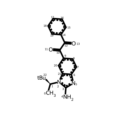 C[C@H](n1c(N)nc2ccc(C(=O)C(=O)c3ccccc3)cc21)C(C)(C)C